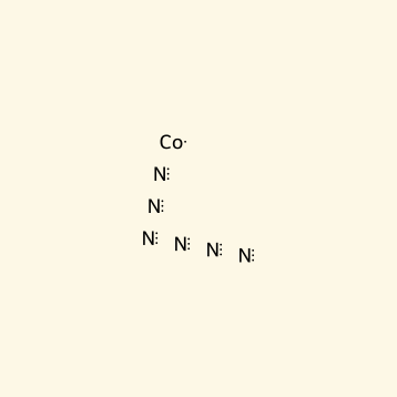 [Co].[N].[N].[N].[N].[N].[N]